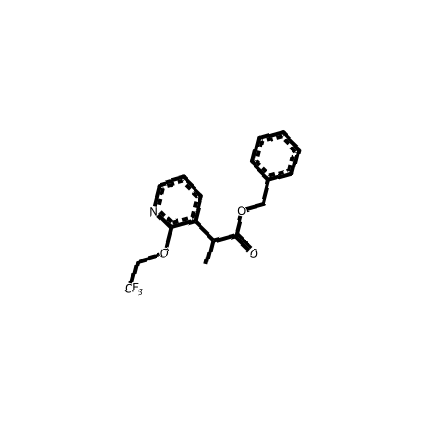 CC(C(=O)OCc1ccccc1)c1cccnc1OCC(F)(F)F